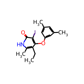 CCc1c(C)[nH]c(=O)c(I)c1Oc1cc(C)cc(C)c1